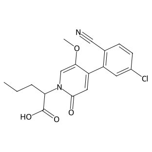 CCCC(C(=O)O)n1cc(OC)c(-c2cc(Cl)ccc2C#N)cc1=O